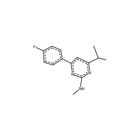 CNc1nc(-c2ccc(F)cc2)cc(C(C)C)n1